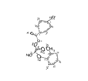 CCc1ccc(C(=O)OOP(=O)(O)Oc2ccccc2C)cc1